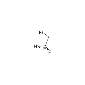 CCC[C@@H](F)S